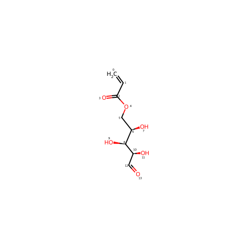 C=CC(=O)OC[C@@H](O)[C@H](O)[C@@H](O)C=O